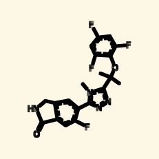 Cn1c(-c2cc3c(cc2F)C(=O)NC3)nnc1C(C)(C)Oc1c(F)cc(F)cc1F